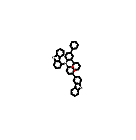 c1ccc(-c2ccc(N(c3ccc(-c4ccc5sc6ccccc6c5c4)cc3)c3cccc4oc5ccccc5c34)c(-c3ccccc3)c2)cc1